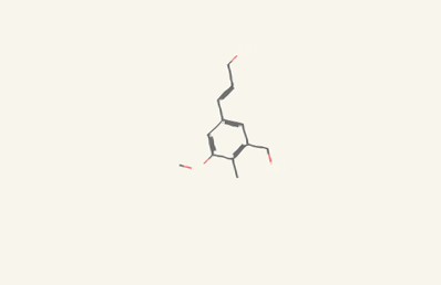 COc1cc(/C=C/CO)cc(CO)c1C